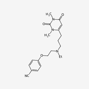 CCN(CCCc1cc(=O)n(C)c(=O)n1C)CCOc1ccc(C#N)cc1